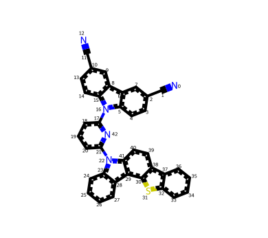 N#Cc1ccc2c(c1)c1cc(C#N)ccc1n2-c1cccc(-n2c3ccccc3c3c4sc5ccccc5c4ccc32)n1